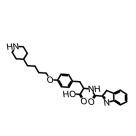 O=C(NC(Cc1ccc(OCCCCC2CCNCC2)cc1)C(=O)O)C1=Nc2ccccc2C1